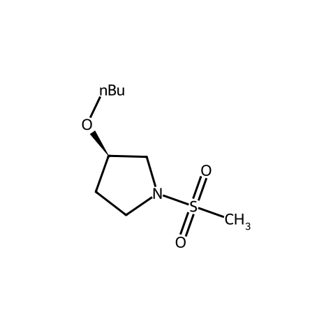 CCCCO[C@@H]1CCN(S(C)(=O)=O)C1